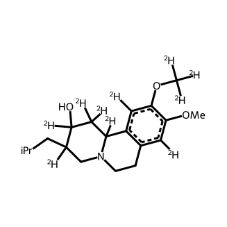 [2H]c1c2c(c([2H])c(OC([2H])([2H])[2H])c1OC)C1([2H])N(CC2)CC([2H])(CC(C)C)C([2H])(O)C1([2H])[2H]